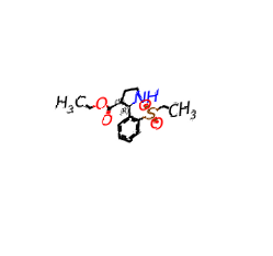 CCOC(=O)[C@H]1CCN[C@H]1c1ccccc1S(=O)(=O)CC